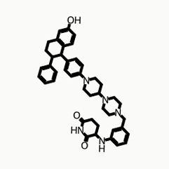 O=C1CCC(Nc2cccc(CN3CCN(C4CCN(c5ccc(C6c7ccc(O)cc7CCC6c6ccccc6)cc5)CC4)CC3)c2)C(=O)N1